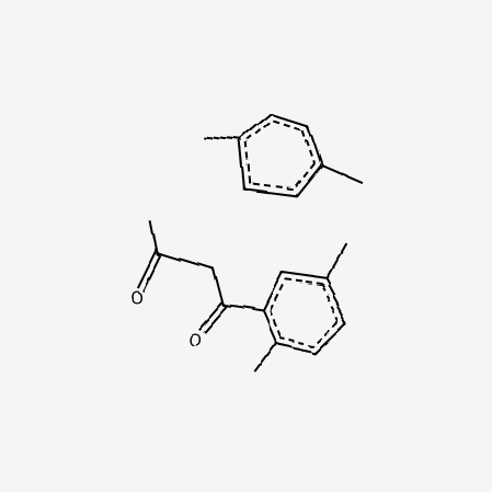 CC(=O)CC(=O)c1cc(C)ccc1C.Cc1ccc(C)cc1